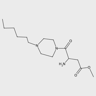 CCCCCCN1CCN(C(=O)C(N)CC(=O)OC)CC1